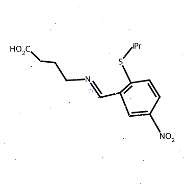 CC(C)Sc1ccc([N+](=O)[O-])cc1/C=N/CCCC(=O)O